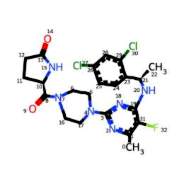 Cc1nc(N2CCN(C(=O)[C@H]3CCC(=O)N3)CC2)nc(N[C@H](C)c2ccc(Cl)cc2Cl)c1F